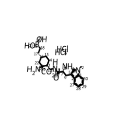 Cl.Cl.Cn1cc(C[C@@H](N)C(=O)NC[C@@H]2CC[C@@H](CCB(O)O)C[C@]2(N)C(=O)O)c2ccccc21